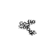 c1ccc(C2(c3ccccc3)c3ccccc3-c3ccc(N(c4ccc(-c5ccc6sc7ccccc7c6c5)cc4)c4ccc(-c5cccc6c5sc5ccccc56)cc4)cc32)cc1